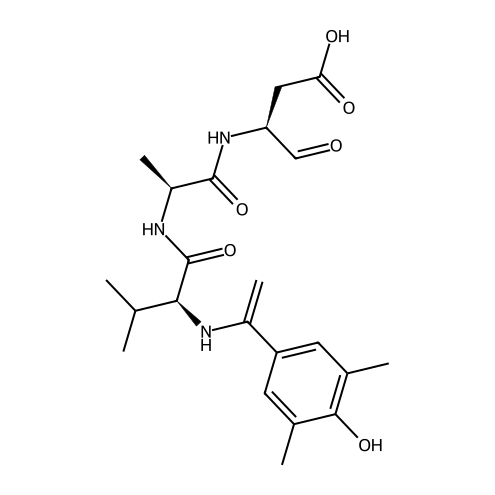 C=C(N[C@H](C(=O)N[C@@H](C)C(=O)N[C@H](C=O)CC(=O)O)C(C)C)c1cc(C)c(O)c(C)c1